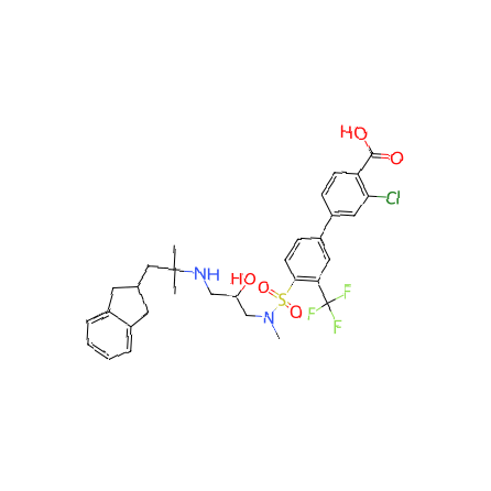 CN(CC(O)CNC(C)(C)CC1Cc2ccccc2C1)S(=O)(=O)c1ccc(-c2ccc(C(=O)O)c(Cl)c2)cc1C(F)(F)F